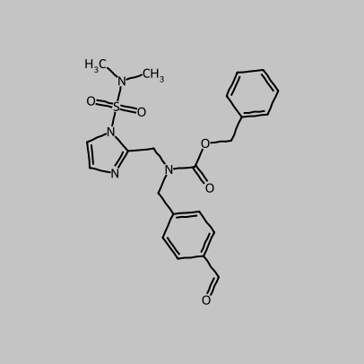 CN(C)S(=O)(=O)n1ccnc1CN(Cc1ccc(C=O)cc1)C(=O)OCc1ccccc1